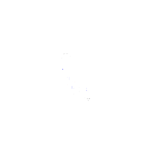 COc1ncc(C)c2c1ccn2S(=O)(=O)N1CCN(Cc2ccccc2)CC1